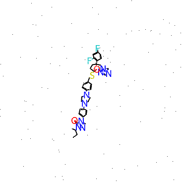 CCC(C)n1ncn(-c2ccc(N3CCN(c4ccc(CSC5CCC(Cn6cncn6)(c6ccc(F)cc6F)O5)cc4)CC3)cc2)c1=O